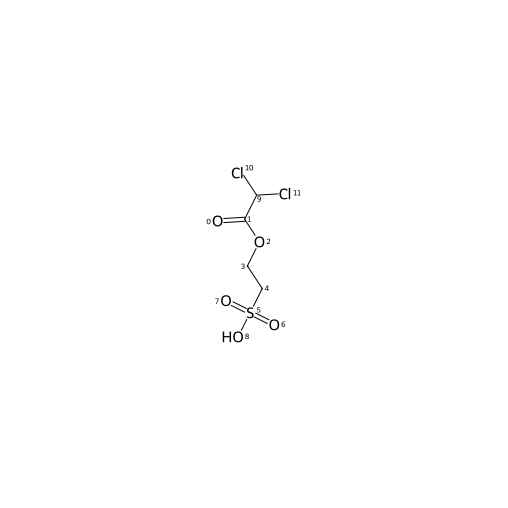 O=C(OCCS(=O)(=O)O)C(Cl)Cl